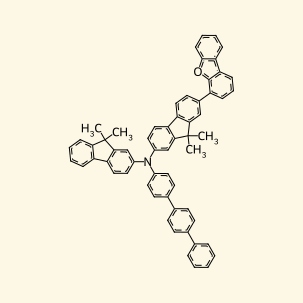 CC1(C)c2ccccc2-c2ccc(N(c3ccc(-c4ccc(-c5ccccc5)cc4)cc3)c3ccc4c(c3)C(C)(C)c3cc(-c5cccc6c5oc5ccccc56)ccc3-4)cc21